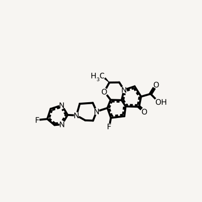 C[C@H]1Cn2cc(C(=O)O)c(=O)c3cc(F)c(N4CCN(c5ncc(F)cn5)CC4)c(c32)O1